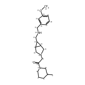 CC1CCCN(C(=O)CN2CC3C(CNCc4cccc(OC(F)(F)F)c4)C3C2)C1